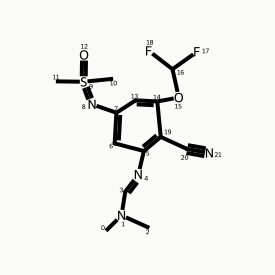 CN(C)/C=N/c1cc(N=S(C)(C)=O)cc(OC(F)F)c1C#N